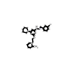 C=C1C=CC=CN1CCOc1nc(N/N=C/c2cccc(I)c2)cc(N2CCCCC2)n1